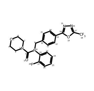 O=C(N1CCOCC1)N(Cc1ccc(-c2nnc(C(F)(F)F)o2)cc1)c1ccccc1F